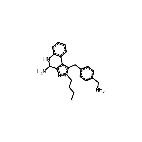 CCCCn1nc2c(c1Cc1ccc(CN)cc1)-c1ccccc1NC2N